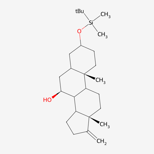 C=C1CCC2C3C(CC[C@]12C)[C@@]1(C)CCC(O[Si](C)(C)C(C)(C)C)CC1C[C@@H]3O